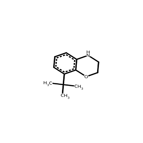 CC(C)(C)c1cccc2c1OCCN2